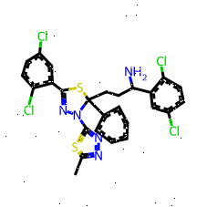 Cc1nnc(N2N=C(c3cc(Cl)ccc3Cl)SC2(CCC(N)c2cc(Cl)ccc2Cl)c2ccccc2)s1